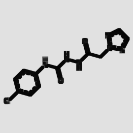 O=C(Cn1nccn1)NNC(=O)Nc1ccc(Cl)cc1